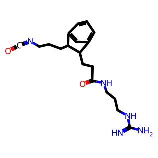 N=C(N)NCCCNC(=O)CCC1c2cccc(c2)C1CCCN=C=O